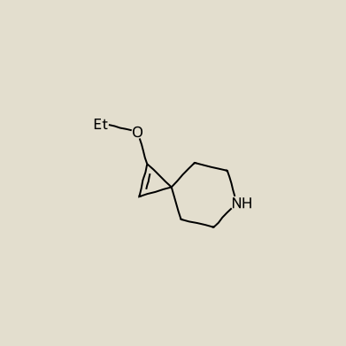 CCOC1=CC12CCNCC2